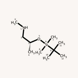 CNC[C@@H](C)O[Si](C)(C)C(C)(C)C